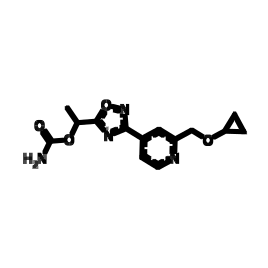 CC(OC(N)=O)c1nc(-c2ccnc(COC3CC3)c2)no1